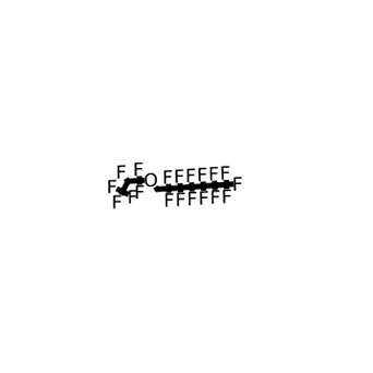 FC(C(F)(F)F)C(F)(F)OCC(F)(F)C(F)(F)C(F)(F)C(F)(F)C(F)(F)C(F)(F)F